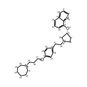 c1cnc2c(O[C@@H]3CCN(CCc4ccc(OCCCN5CCCCCC5)cc4)C3)cccc2c1